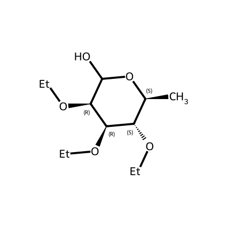 CCO[C@@H]1[C@@H](OCC)[C@@H](OCC)C(O)O[C@H]1C